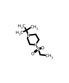 CCS(=O)(=O)N1CCN(C(C)(C)C)CC1